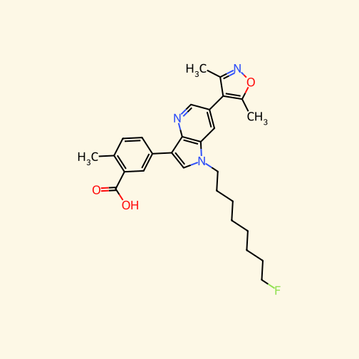 Cc1ccc(-c2cn(CCCCCCCCF)c3cc(-c4c(C)noc4C)cnc23)cc1C(=O)O